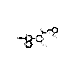 C[C@@H]1CN(c2cnc(C#N)c3ncccc23)C[C@H](C(=O)NCC2CCCN2C)O1